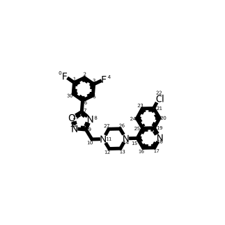 Fc1cc(F)cc(-c2nc(CN3CCN(c4ccnc5cc(Cl)ccc45)CC3)no2)c1